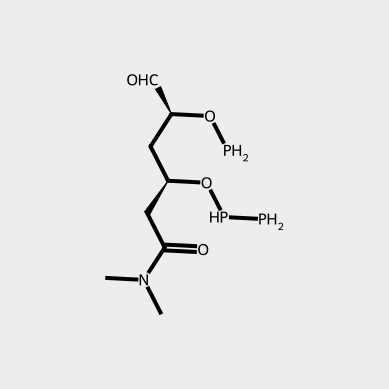 CN(C)C(=O)C[C@@H](C[C@@H](C=O)OP)OPP